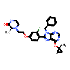 C[C@H]1C(=O)NCCN1CCOc1ccc(-c2nc3c(OC4(C)CC4)ncnc3n2Cc2ccccc2)c(Cl)c1